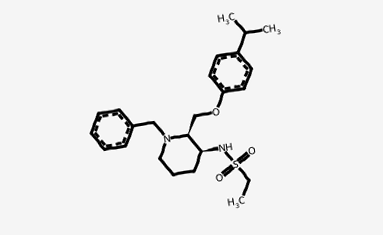 CCS(=O)(=O)N[C@H]1CCCN(Cc2ccccc2)[C@H]1COc1ccc(C(C)C)cc1